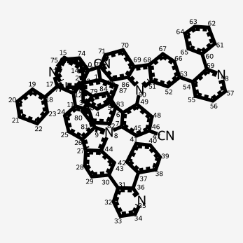 N#Cc1cccc(-c2c(-n3c4cc(-c5cccnc5-c5ccccc5)ccc4c4ccc(-c5cccnc5-c5ccccc5)cc43)cc(C#N)cc2-n2c3cc(-c4cccnc4-c4ccccc4)ccc3c3ccc(-c4cccnc4-c4ccccc4)cc32)c1